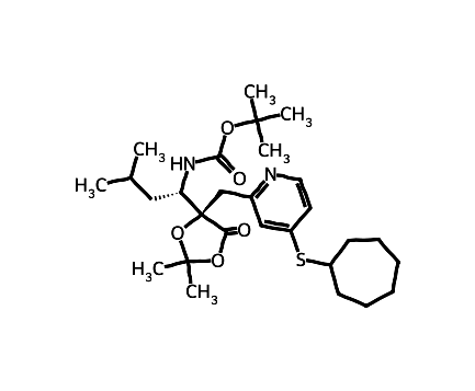 CC(C)C[C@H](NC(=O)OC(C)(C)C)[C@@]1(Cc2cc(SC3CCCCCC3)ccn2)OC(C)(C)OC1=O